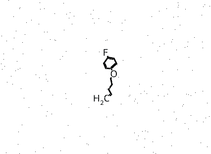 C=CCCCOc1ccc(F)cc1